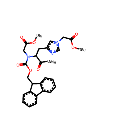 COC(=O)C(Cc1cn(CC(=O)OC(C)(C)C)cn1)N(CC(=O)OC(C)(C)C)C(=O)OCC1c2ccccc2-c2ccccc21